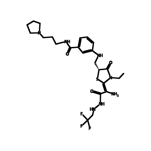 CCN1C(=O)[C@@H](CNc2cccc(C(=O)NCCCN3CCCC3)c2)S/C1=C(/N)C(=O)NNCC(F)(F)F